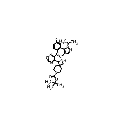 CC(C)n1ncc(Cl)c1-c1cc(F)ccc1Oc1nncnc1C1NCC12CCN(C(=O)OC(C)(C)C)CC2